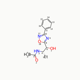 BC(=O)N[C@@H](CC)C(O)c1nc(-c2ccccc2)no1